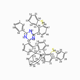 c1ccc(-c2nc(-c3cccc4c3-c3cccc(-c5cccc6c5sc5ccccc56)c3C43C4CC5CC(C4)CC3C5)nc(-c3cccc4sc5ccccc5c34)n2)cc1